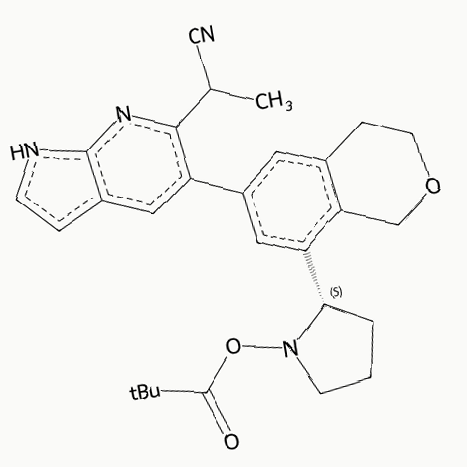 CC(C#N)c1nc2[nH]ccc2cc1-c1cc2c(c([C@@H]3CCCN3OC(=O)C(C)(C)C)c1)COCC2